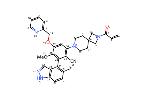 C=CC(=O)N1CC2(CCN(c3cc(OCc4ccccn4)c(OC)c(-c4c(C)ccc5[nH]ncc45)c3C#N)CC2)C1